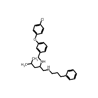 CC(C)CC(CNCCCc1ccccc1)NCc1cccc(Oc2ccc(Cl)cc2)c1